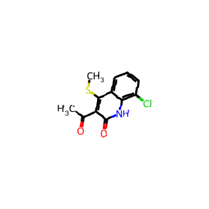 CSc1c(C(C)=O)c(=O)[nH]c2c(Cl)cccc12